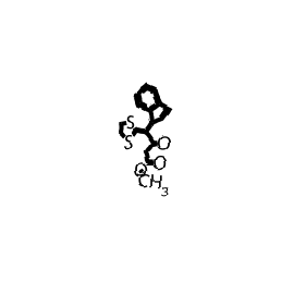 COC(=O)CC(=O)C(C1SCCS1)C1C=Cc2ccccc21